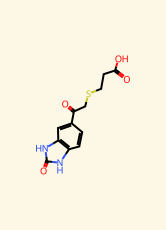 O=C(O)CCSCC(=O)c1ccc2[nH]c(=O)[nH]c2c1